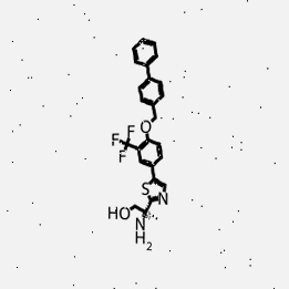 C[C@](N)(CO)c1ncc(-c2ccc(OCc3ccc(-c4ccccc4)cc3)c(C(F)(F)F)c2)s1